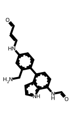 NCc1cc(NC=CC=O)ccc1-c1ccc(NC=O)c2[nH]ccc12